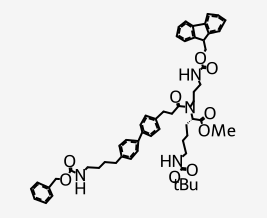 COC(=O)[C@H](CCCCNC(=O)OC(C)(C)C)N(CCCNC(=O)OCC1c2ccccc2-c2ccccc21)C(=O)CCc1ccc(-c2ccc(CCCCNC(=O)OCc3ccccc3)cc2)cc1